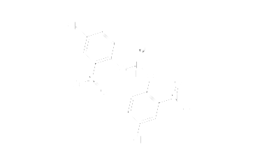 O=[N+]([O-])c1cc(Cl)ccc1O[PH](=O)Oc1ccc(Cl)cc1[N+](=O)[O-]